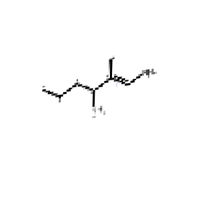 CCCC(N)/C(C)=C/N